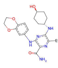 CCc1nc(C(N)=O)c(Nc2ccc3c(c2)OCCO3)nc1N[C@H]1CC[C@H](O)CC1